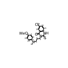 COc1ccc(N(C)CCCn2c(=S)[nH]c3ccc(Cl)cc3c2=O)cc1